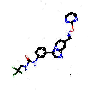 O=C(NCC(F)(F)F)Nc1cccc(-c2cnc3cc(/C=N/Oc4ncccn4)ccn23)c1